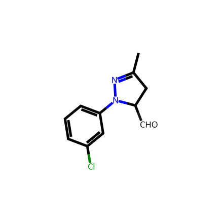 CC1=NN(c2cccc(Cl)c2)C(C=O)C1